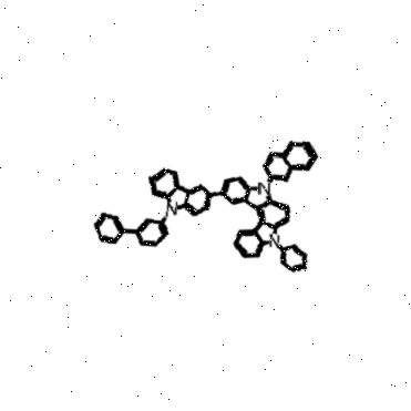 c1ccc(-c2cccc(-n3c4ccccc4c4cc(-c5ccc6c(c5)c5c7c8ccccc8n(-c8ccccc8)c7ccc5n6-c5ccc6ccccc6c5)ccc43)c2)cc1